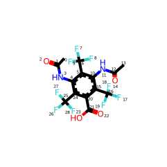 CC(=O)Nc1c(C(F)(F)F)c(NC(C)=O)c(C(F)(F)F)c(C(=O)O)c1C(F)(F)F